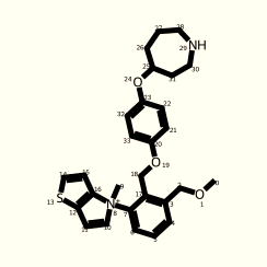 COCc1cccc([N+]2(C)C=Cc3sccc32)c1COc1ccc(OC2CCCNCC2)cc1